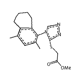 COC(=O)CSc1nncn1-c1c(C)cc(C)c2c1CCCC2